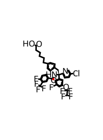 O=C(O)CCCCCc1ccc(C[C@](NC(=O)c2ccc(F)c(C(F)(F)F)c2)(c2cc(F)cc(OC(F)(F)C(F)F)c2)c2ccc(Cl)cn2)cc1